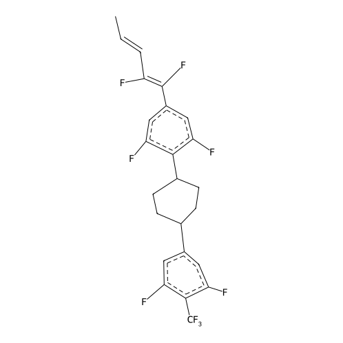 C/C=C/C(F)=C(\F)c1cc(F)c(C2CCC(c3cc(F)c(C(F)(F)F)c(F)c3)CC2)c(F)c1